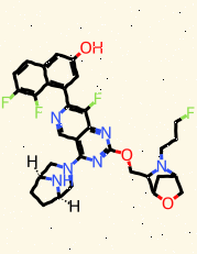 Oc1cc(-c2ncc3c(N4C[C@H]5CC[C@@H](C4)N5)nc(OCC4C5CC(CO5)N4CCCF)nc3c2F)c2c(F)c(F)ccc2c1